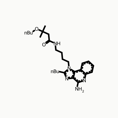 CCCCOC(C)(C)CC(=O)NCCCCn1c(CCCC)nc2c(N)nc3ccccc3c21